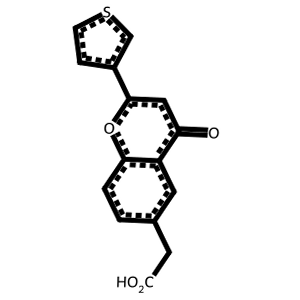 O=C(O)Cc1ccc2oc(-c3ccsc3)cc(=O)c2c1